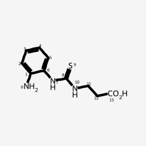 Nc1ccccc1NC(=S)NCCC(=O)O